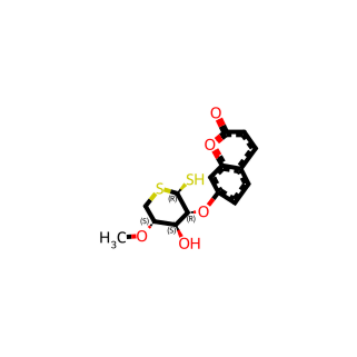 CO[C@@H]1CS[C@@H](S)[C@H](Oc2ccc3ccc(=O)oc3c2)[C@H]1O